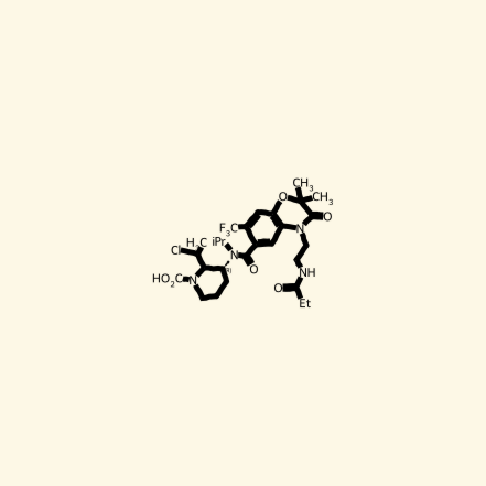 CCC(=O)NCCN1C(=O)C(C)(C)Oc2cc(C(F)(F)F)c(C(=O)N(C(C)C)[C@@H]3CCCN(C(=O)O)C3C(C)Cl)cc21